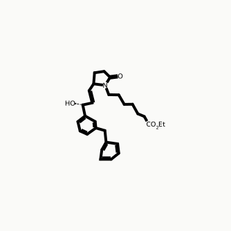 CCOC(=O)CCCCCCN1C(=O)CCC1/C=C/[C@@H](O)c1cccc(Cc2ccccc2)c1